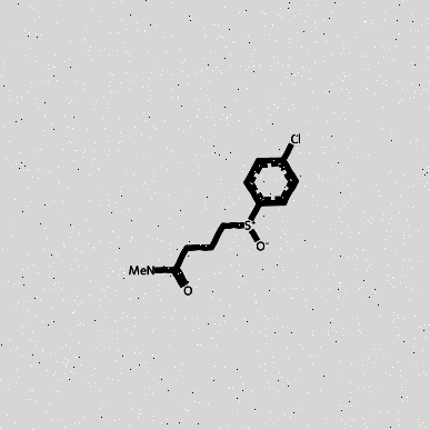 CNC(=O)CCC[S+]([O-])c1ccc(Cl)cc1